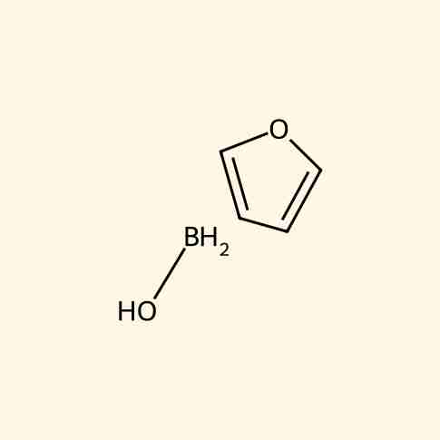 BO.c1ccoc1